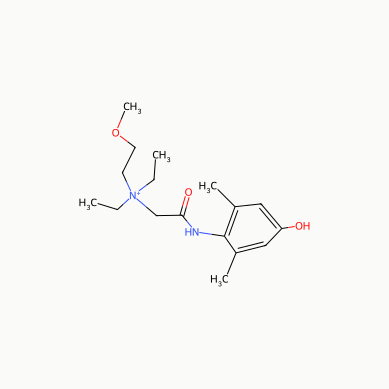 CC[N+](CC)(CCOC)CC(=O)Nc1c(C)cc(O)cc1C